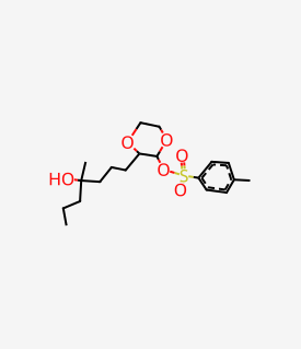 CCCC(C)(O)CCCC1OCCOC1OS(=O)(=O)c1ccc(C)cc1